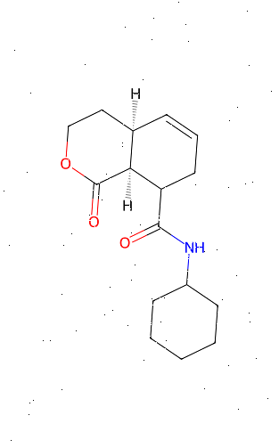 O=C(NC1CCCCC1)C1CC=C[C@@H]2CCOC(=O)[C@H]12